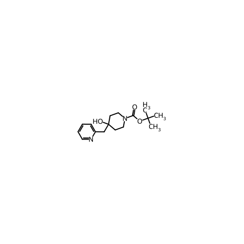 CC(C)(C)OC(=O)N1CCC(O)(Cc2ccccn2)CC1